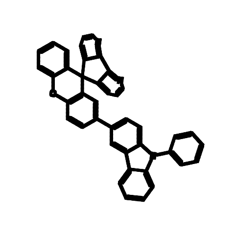 c1ccc(-n2c3ccccc3c3cc(-c4ccc5c(c4)C4(c6ccccc6O5)c5cccnc5-c5ncccc54)ccc32)cc1